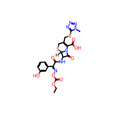 CCOC(=O)ON=C(C(=O)NC1C(=O)N2C(C(=O)O)=C(CSc3nnnn3C)CS[C@@H]12)c1cccc(O)c1